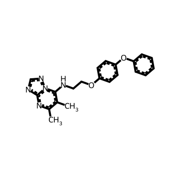 Cc1nc2ncnn2c(NCCOc2ccc(Oc3ccccc3)cc2)c1C